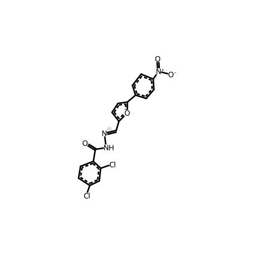 O=C(N/N=C/c1ccc(-c2ccc([N+](=O)[O-])cc2)o1)c1ccc(Cl)cc1Cl